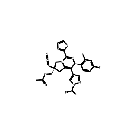 CC(=O)OC[C@@]1(N=[N+]=[N-])CC2=C(c3cnn(C(F)F)c3)[C@H](c3ccc(F)cc3Cl)N=C(c3nccs3)N2C1